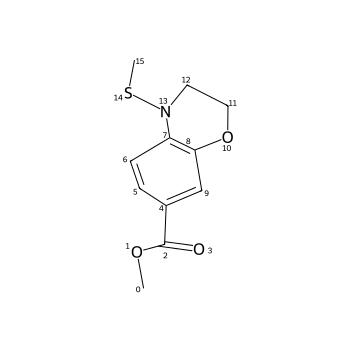 COC(=O)c1ccc2c(c1)OCCN2SC